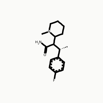 C[C@H](c1ccc(F)cc1)C(C(N)=O)C1CCCCN1C